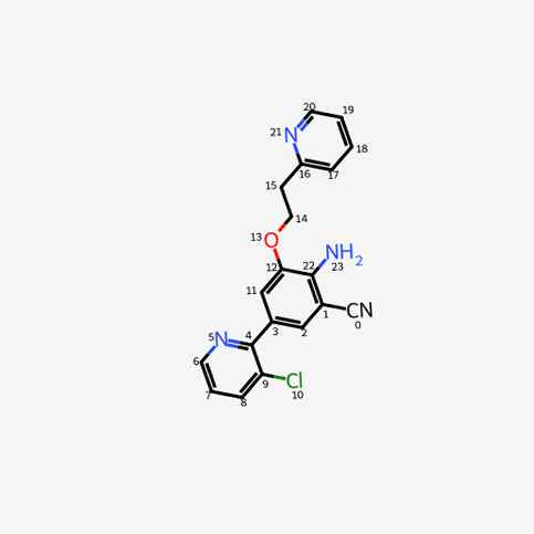 N#Cc1cc(-c2ncccc2Cl)cc(OCCc2ccccn2)c1N